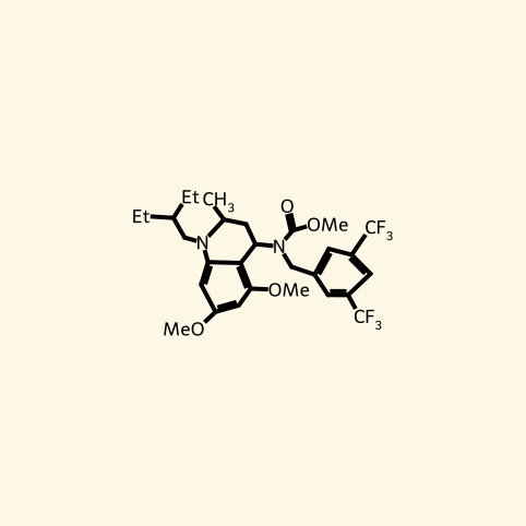 CCC(CC)CN1c2cc(OC)cc(OC)c2C(N(Cc2cc(C(F)(F)F)cc(C(F)(F)F)c2)C(=O)OC)CC1C